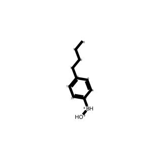 CCCCc1ccc(BO)cc1